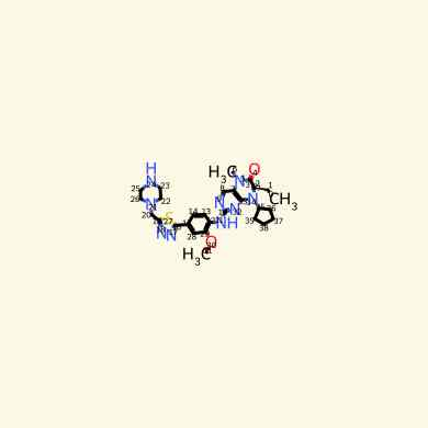 CC[C@@H]1C(=O)N(C)c2cnc(Nc3ccc(-c4nnc(CN5CCNCC5)s4)cc3OC)nc2N1C1CCCC1